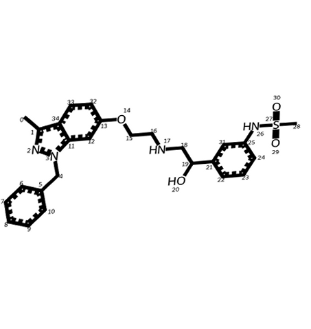 Cc1nn(Cc2ccccc2)c2cc(OCCNCC(O)c3cccc(NS(C)(=O)=O)c3)ccc12